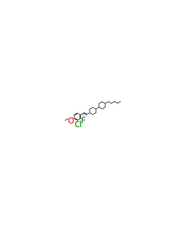 CCCCCC1CCC(C2CCC(/C=C/c3ccc(OCC)c(Cl)c3F)CC2)CC1